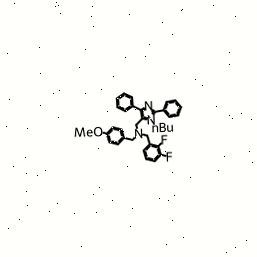 CCCCn1c(-c2ccccc2)nc(-c2ccccc2)c1CN(Cc1ccc(OC)cc1)Cc1cccc(F)c1F